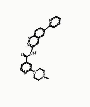 CN1CCN(c2cc(C(=O)Nc3cc4cc(-c5ccccn5)ccc4nn3)ccn2)CC1